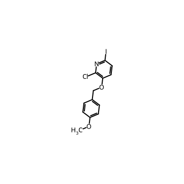 COc1ccc(COc2ccc(I)nc2Cl)cc1